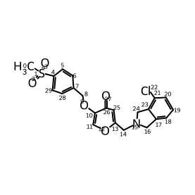 CS(=O)(=O)c1ccc(COc2coc(CN3Cc4cccc(Cl)c4C3)cc2=O)cc1